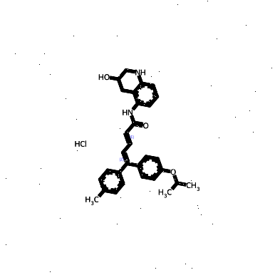 Cc1ccc(/C(=C/C=C/C(=O)Nc2cccc3c2CC(O)CN3)c2ccc(OC(C)C)cc2)cc1.Cl